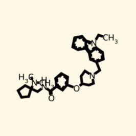 CCn1c2ccccc2c2cc(CN3CCC(Oc4cccc(C(=O)NCC5(N(C)C)CCCC5)c4)CC3)ccc21